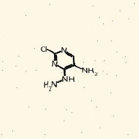 NNc1nc(Cl)ncc1N